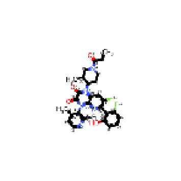 C=CC(=O)N1CCC(n2c(=O)c(=O)n(-c3c(C)ccnc3C(C)C)c3nc(-c4c(O)cccc4F)c(F)cc32)[C@@H](C)C1